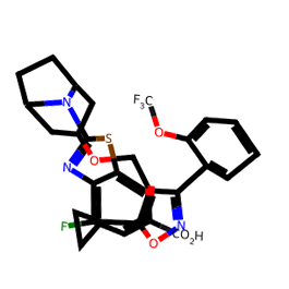 O=C(O)c1cc(F)c2nc(N3C4CCC3CC(OCc3c(-c5ccccc5OC(F)(F)F)noc3C3CC3)C4)sc2c1